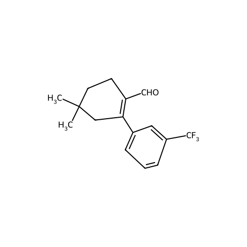 CC1(C)CCC(C=O)=C(c2cccc(C(F)(F)F)c2)C1